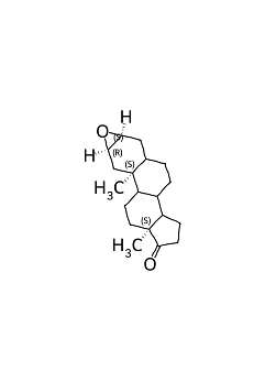 C[C@]12C[C@H]3O[C@H]3CC1CCC1C2CC[C@]2(C)C(=O)CCC12